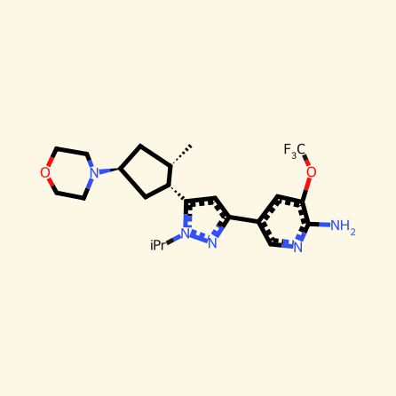 CC(C)n1nc(-c2cnc(N)c(OC(F)(F)F)c2)cc1[C@@H]1C[C@@H](N2CCOCC2)C[C@@H]1C